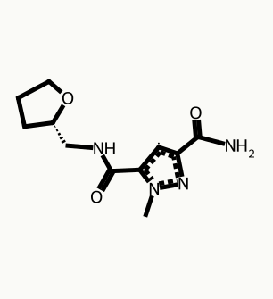 Cn1nc(C(N)=O)[c]c1C(=O)NC[C@@H]1CCCO1